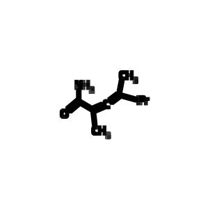 CC(=C=C(C)C(C)C)C(N)=O